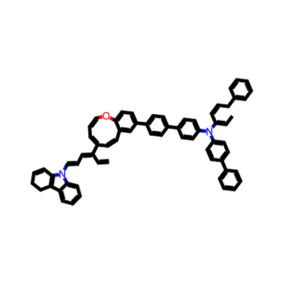 C=C/C(=C\C=C\n1c2c(c3ccccc31)CCC=C2)c1cccoc2ccc(-c3ccc(-c4ccc(N(C(/C=C\Cc5ccccc5)=C/C)c5ccc(-c6ccccc6)cc5)cc4)cc3)cc2cc1